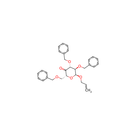 C=CCO[C@H]1O[C@H](COCc2ccccc2)C(=O)[C@H](OCc2ccccc2)[C@H]1OCc1ccccc1